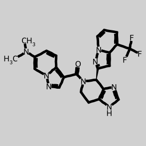 CN(C)c1ccc2c(C(=O)N3CCc4[nH]cnc4[C@@H]3c3cc4c(C(F)(F)F)cccn4n3)cnn2c1